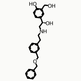 OCc1cc([C@@H](O)CNCCc2cccc(COCc3ccccc3)c2)ccc1O